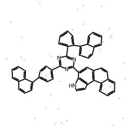 c1ccc(-c2cccc3ccccc23)c(-c2nc(-c3ccc(-c4cccc5ccccc45)cc3)nc(-c3cc4ccc5ccccc5c4c4cc[nH]c34)n2)c1